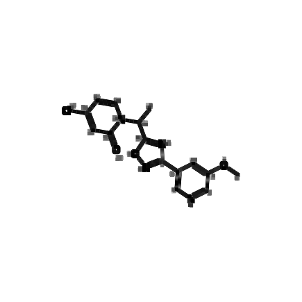 COc1cncc(-c2noc(C(C)n3ccc(Cl)cc3=O)n2)c1